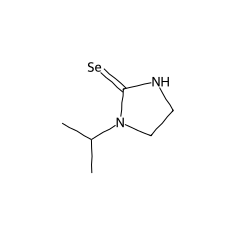 CC(C)N1CCNC1=[Se]